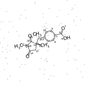 C[C@H](c1ccc(C(=O)O)cc1)[C@]1(C)CC(=O)N(C)C1=O